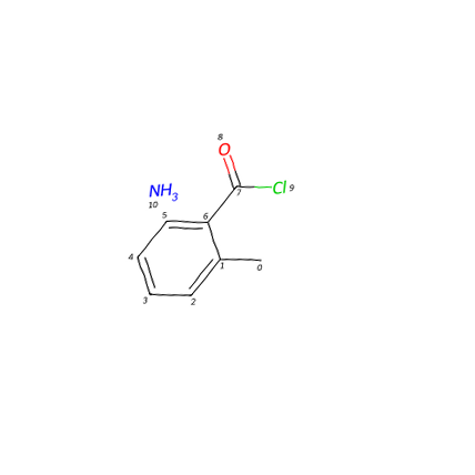 Cc1ccccc1C(=O)Cl.N